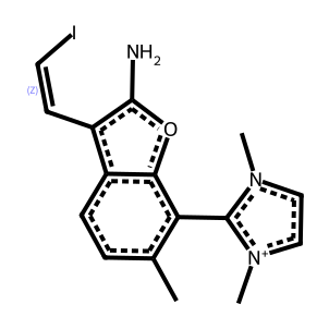 Cc1ccc2c(/C=C\I)c(N)oc2c1-c1n(C)cc[n+]1C